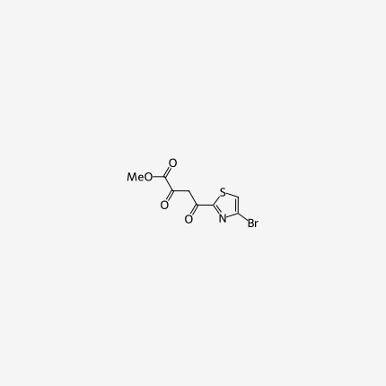 COC(=O)C(=O)CC(=O)c1nc(Br)cs1